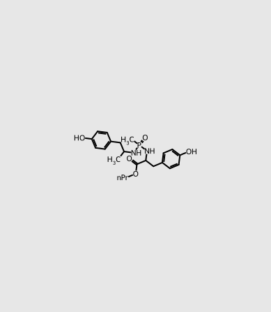 CCCOC(=O)C(Cc1ccc(O)cc1)NP(C)(=O)NC(C)Cc1ccc(O)cc1